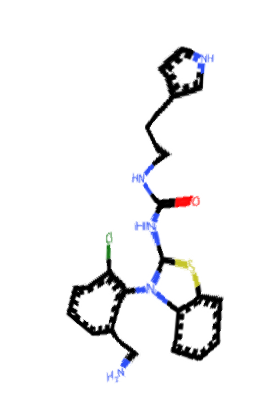 NCc1cccc(Cl)c1N1c2ccccc2SC1NC(=O)NCCc1cc[nH]c1